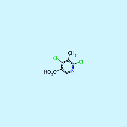 Cc1c(Cl)ncc(C(=O)O)c1Cl